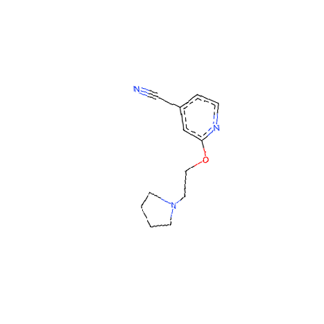 N#Cc1ccnc(OCCN2CCCC2)c1